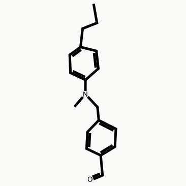 CCCc1ccc(N(C)Cc2ccc(C=O)cc2)cc1